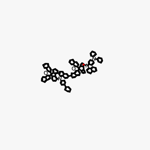 c1ccc(-c2ccc(N(c3cccc4c3-c3ccccc3C43c4ccc5ccccc5c4Oc4c3ccc3ccccc43)c3cccc4cc(-c5ccc6ccc7c(c6c5)Oc5c(ccc6ccccc56)C75c6ccccc6-c6c(N(c7ccc(N(c8ccccc8)c8ccccc8)cc7)c7cccc8ccccc78)cccc65)ccc34)cc2)cc1